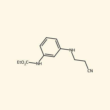 CCOC(=O)Nc1cccc(NCCC#N)c1